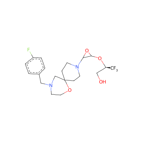 OC[C@@H](OC1OC1N1CCC2(CC1)CN(Cc1ccc(F)cc1)CCO2)C(F)(F)F